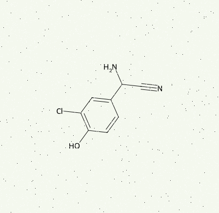 N#CC(N)c1ccc(O)c(Cl)c1